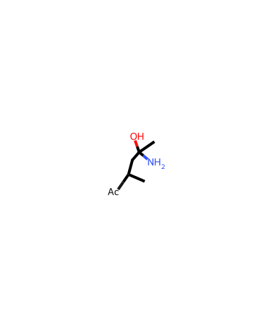 CC(=O)C(C)CC(C)(N)O